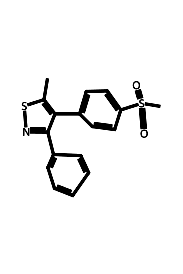 Cc1snc(-c2ccccc2)c1-c1ccc(S(C)(=O)=O)cc1